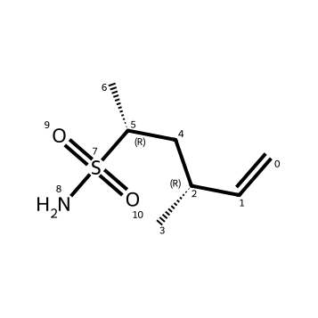 C=C[C@H](C)C[C@@H](C)S(N)(=O)=O